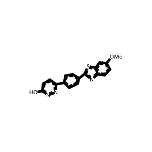 COc1ccc2nc(-c3ccc(-c4ccc(O)nn4)cc3)sc2c1